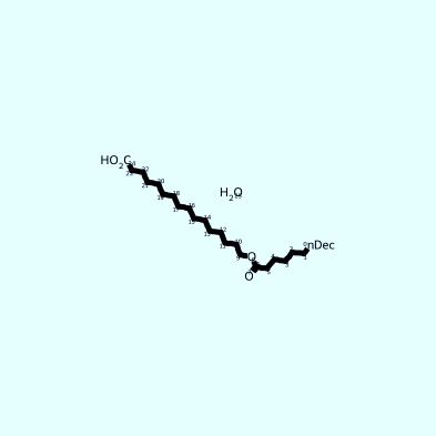 CCCCCCCCCCCCCCCC(=O)OCCCCCCCCCCCCCCCC(=O)O.O